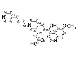 COc1ccc2nccc([C@H](O)CC[C@@H]3CCN(CCCCc4ccncc4)C[C@H]3CCC(=O)O)c2c1